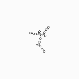 c1ccc2c(c1)sc1cc(-c3ccc4c(c3)c3ccccc3n4-c3ccc(-c4ccc(-c5cc(-n6c7ccccc7c7cc(-c8ccc9c(c8)sc8ccccc89)ccc76)nc(-n6c7ccccc7c7cc(-c8ccc9c(c8)sc8ccccc89)ccc76)n5)cc4)cc3)ccc12